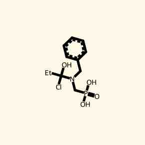 CCC(O)(Cl)N(Cc1ccccc1)CP(=O)(O)O